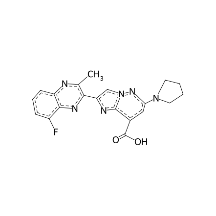 Cc1nc2cccc(F)c2nc1-c1cn2nc(N3CCCC3)cc(C(=O)O)c2n1